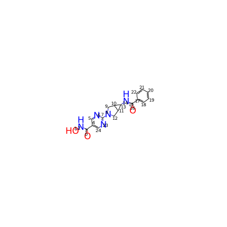 O=C(NO)c1cnc(N2CC3C(C2)C3NC(=O)c2ccccc2)nc1